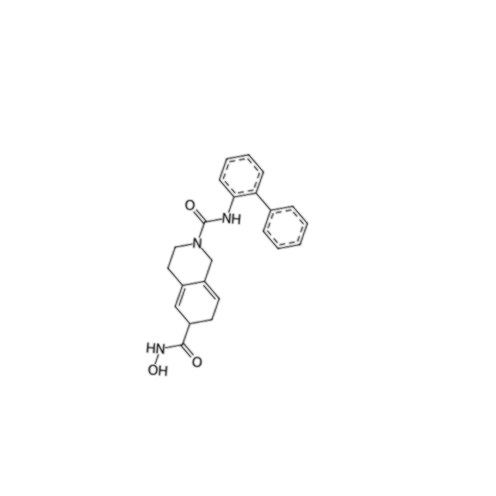 O=C(NO)C1C=C2CCN(C(=O)Nc3ccccc3-c3ccccc3)CC2=CC1